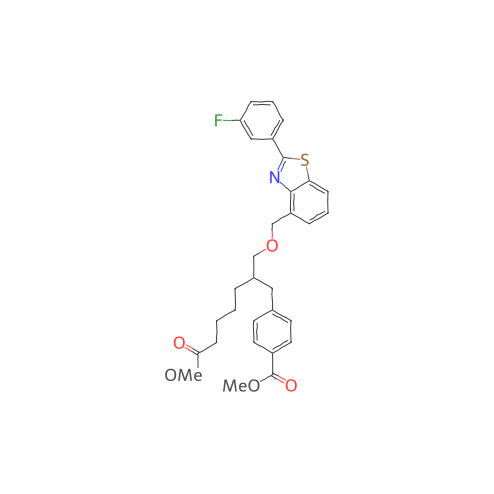 COC(=O)CCCCC(COCc1cccc2sc(-c3cccc(F)c3)nc12)Cc1ccc(C(=O)OC)cc1